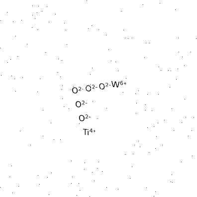 [O-2].[O-2].[O-2].[O-2].[O-2].[Ti+4].[W+6]